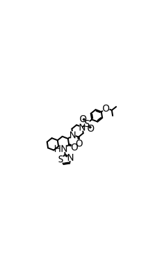 CC(C)Oc1ccc(S(=O)(=O)N2CCN(C(CC3CCCCC3)C(=O)Nc3nccs3)C(=O)C2)cc1